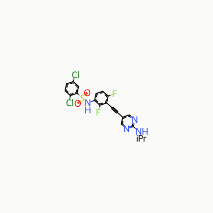 CC(C)Nc1ncc(C#Cc2c(F)ccc(NS(=O)(=O)c3cc(Cl)ccc3Cl)c2F)cn1